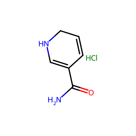 Cl.NC(=O)C1=CNCC=C1